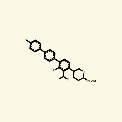 CCCCCC1CCC(c2ccc(-c3ccc(-c4ccc(C)cc4)cc3)c(F)c2C(F)F)CO1